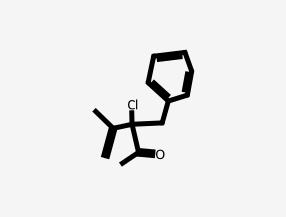 C=C(C)C(Cl)(Cc1ccccc1)C(C)=O